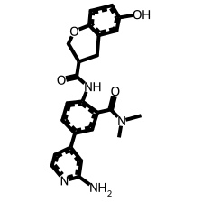 CN(C)C(=O)c1cc(-c2ccnc(N)c2)ccc1NC(=O)C1COc2ccc(O)cc2C1